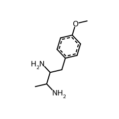 COc1ccc(CC(N)C(C)N)cc1